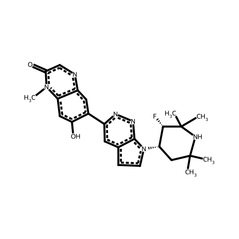 Cn1c(=O)cnc2cc(-c3cc4ccn([C@H]5CC(C)(C)NC(C)(C)[C@H]5F)c4nn3)c(O)cc21